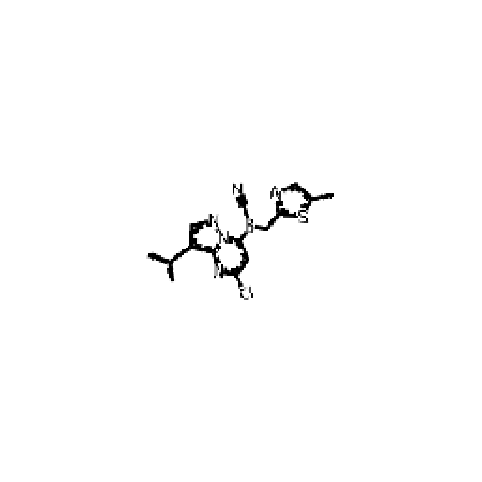 Cc1cnc(CB(C#N)c2cc(Cl)nc3c(C(C)C)cnn23)s1